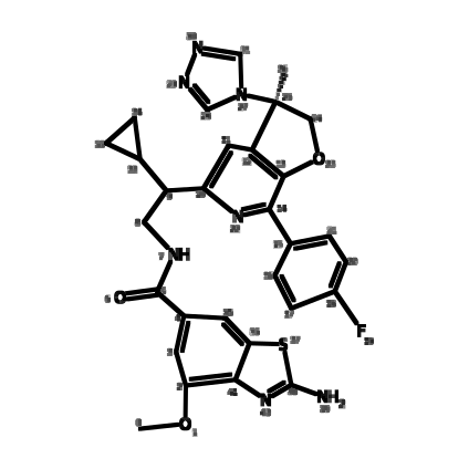 COc1cc(C(=O)NCC(c2cc3c(c(-c4ccc(F)cc4)n2)OC[C@]3(C)n2cnnc2)C2CC2)cc2sc(N)nc12